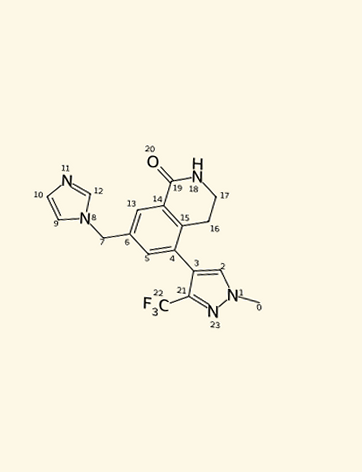 Cn1cc(-c2cc(Cn3ccnc3)cc3c2CCNC3=O)c(C(F)(F)F)n1